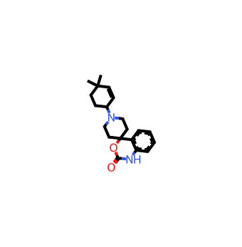 CC1(C)C=CC(N2CCC3(CC2)OC(=O)Nc2ccccc23)CC1